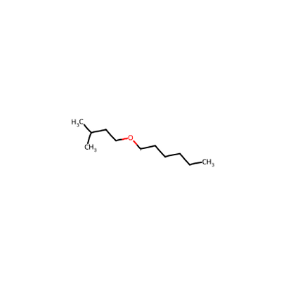 CCCCC[CH]OCCC(C)C